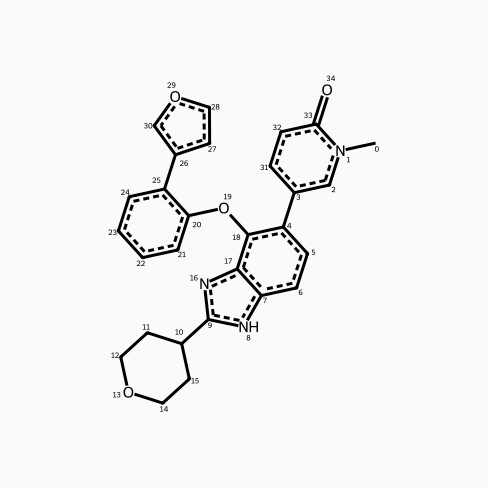 Cn1cc(-c2ccc3[nH]c(C4CCOCC4)nc3c2Oc2ccccc2-c2ccoc2)ccc1=O